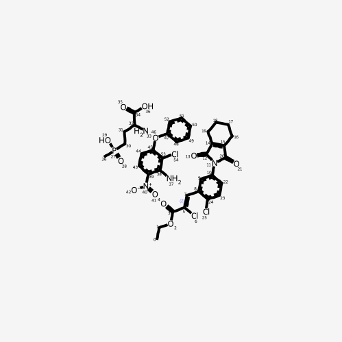 CCOC(=O)/C(Cl)=C/c1cc(N2C(=O)C3=C(CCCC3)C2=O)ccc1Cl.CP(=O)(O)CCC(N)C(=O)O.Nc1c([N+](=O)[O-])ccc(Oc2ccccc2)c1Cl